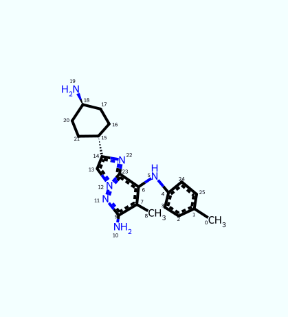 Cc1ccc(Nc2c(C)c(N)nn3cc([C@H]4CC[C@H](N)CC4)nc23)cc1